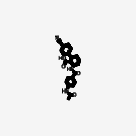 CC(=O)Nc1ccc(C(=O)Nc2cccc(-c3ccc(C#N)cc3)c2C(=O)O)cc1